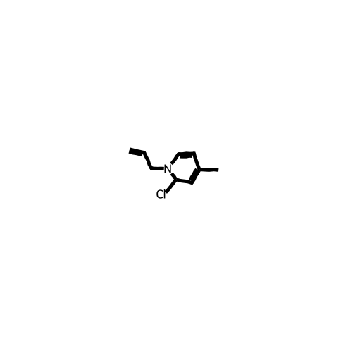 C=CCN1C=CC(C)=CC1Cl